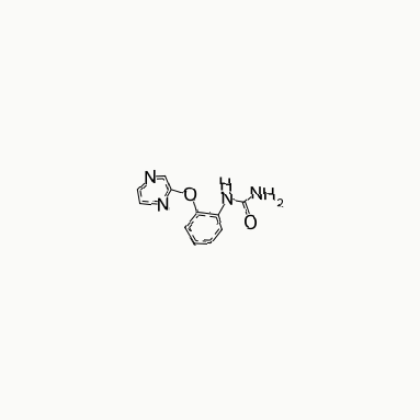 NC(=O)Nc1ccccc1Oc1cnccn1